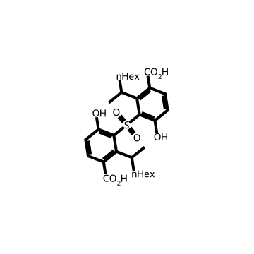 CCCCCCC(C)c1c(C(=O)O)ccc(O)c1S(=O)(=O)c1c(O)ccc(C(=O)O)c1C(C)CCCCCC